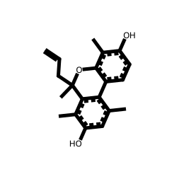 C=CCC1(C)Oc2c(ccc(O)c2C)-c2c(C)cc(O)c(C)c21